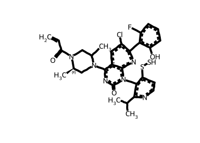 C=CC(=O)N1CC(C)N(c2nc(=O)n(-c3c(SS)ccnc3C(C)C)c3nc(-c4c(O)cccc4F)c(Cl)cc23)C[C@H]1C